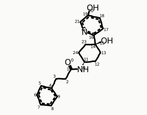 O=C(CCc1ccccc1)N[C@H]1CC[C@@](O)(c2ccc(O)cn2)CC1